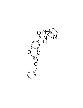 O=C(N[C@H]1CN2CCC1CC2)c1ccc2c(c1)O[C@@H](COCc1ccccc1)CO2